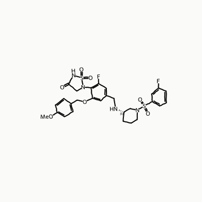 COc1ccc(COc2cc(CN[C@H]3CCCN(S(=O)(=O)c4cccc(F)c4)C3)cc(F)c2N2CC(=O)NS2(=O)=O)cc1